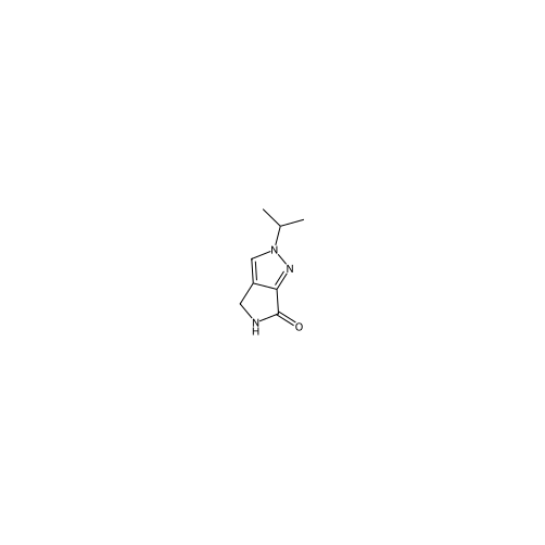 CC(C)n1cc2c(n1)C(=O)NC2